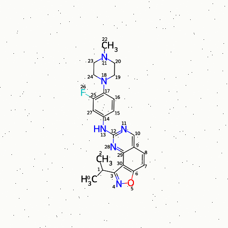 CC(C)c1noc2ccc3cnc(Nc4ccc(N5CCN(C)CC5)c(F)c4)nc3c12